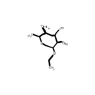 CCOC1OC(C)C(C)C(O)C1O